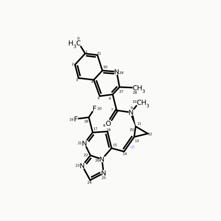 Cc1ccc2cc(C(=O)N(C)[C@H]3C/C3=C/c3cc(C(F)F)nc4ncnn34)c(C)nc2c1